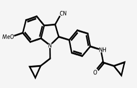 COc1ccc2c(c1)N(CC1CC1)C(c1ccc(NC(=O)C3CC3)cc1)C2C#N